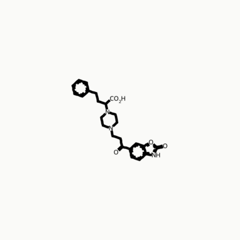 O=C(CCN1CCN(C(CCc2ccccc2)C(=O)O)CC1)c1ccc2[nH]c(=O)oc2c1